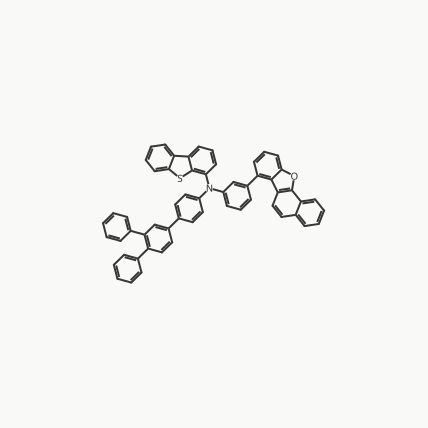 c1ccc(-c2ccc(-c3ccc(N(c4cccc(-c5cccc6oc7c8ccccc8ccc7c56)c4)c4cccc5c4sc4ccccc45)cc3)cc2-c2ccccc2)cc1